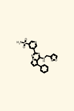 NS(=O)(=O)c1cncc(-c2nc(NCc3ccon3)c3c(-c4ccccc4)ccn3n2)c1